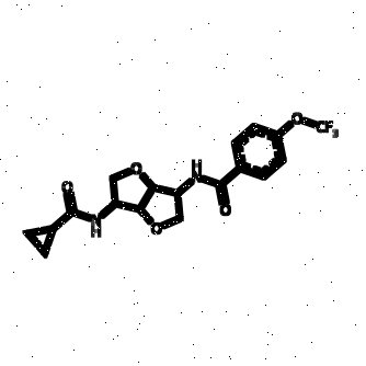 O=C(NC1COC2C(NC(=O)C3CC3)COC12)c1ccc(OC(F)(F)F)cc1